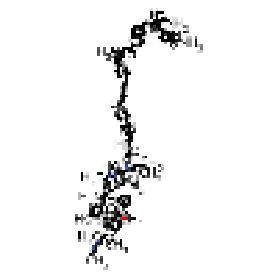 C=C/C=C/C=C(\C)[C@H](C[C@@H]1CC[C@@H](C)[C@](O)(C(=O)C(=O)N2CCCC[C@H]2C(=O)O[C@@H](C[C@@H](O)[C@H](C)/C=C(\C)[C@@H](O)[C@@H](O)/C(=N/OCC(=O)NCc2cnc(N3CCN(C(=O)CCOCCN4CCN(C(=O)CN(C)CC(=O)N5CCc6cc(Cn7nc(-c8ccc9oc(N)nc9c8)c8c(N)ncnc87)ccc6C5)CC4)CC3)nc2)[C@H](C)CC(C)C)[C@H](N)C[C@@H]2CC[C@@H](O)[C@H](OC)C2)O1)OC